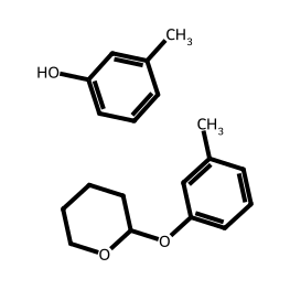 Cc1cccc(O)c1.Cc1cccc(OC2CCCCO2)c1